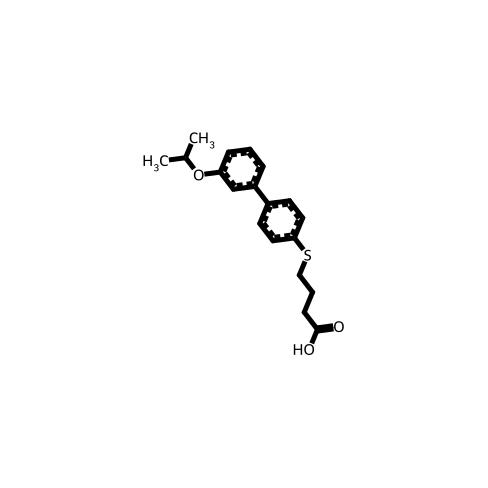 CC(C)Oc1cccc(-c2ccc(SCCCC(=O)O)cc2)c1